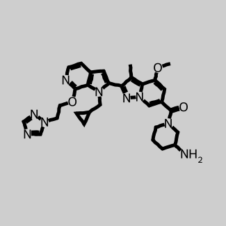 COc1cc(C(=O)N2CCCC(N)C2)cn2nc(-c3cc4ccnc(OCCn5cncn5)c4n3CC3CC3)c(C)c12